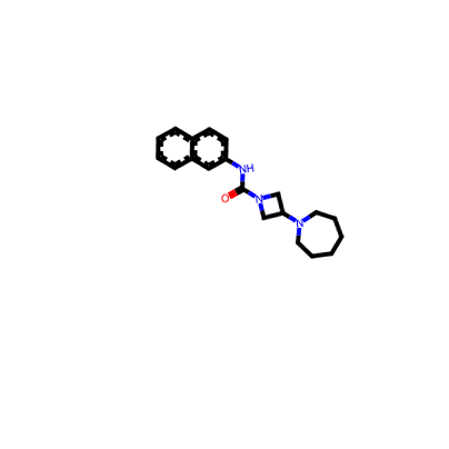 O=C(Nc1ccc2ccccc2c1)N1CC(N2CCCCCC2)C1